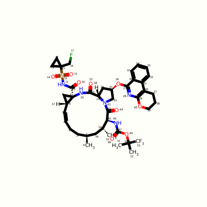 C[C@H]1CC/C=C\[C@@H]2C[C@@]2(C(=O)NS(=O)(=O)C2(CF)CC2)NC(=O)[C@@H]2C[C@@H](Oc3nc4c(c5ccccc35)CCCO4)CN2C(=O)[C@@H](NC(=O)OC(C)(C)C(F)(F)F)[C@H](C)C1